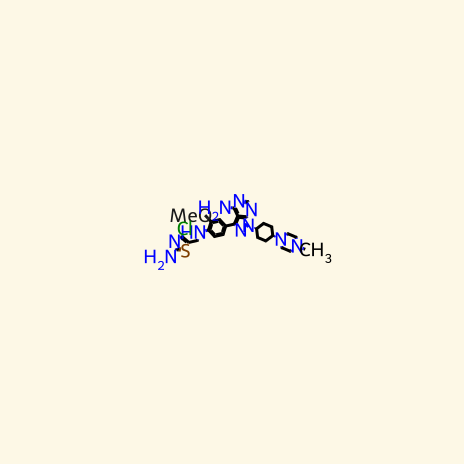 COc1cc(-c2nn([C@H]3CC[C@H](N4CCN(C)CC4)CC3)c3ncnc(N)c23)ccc1NCc1sc(N)nc1Cl